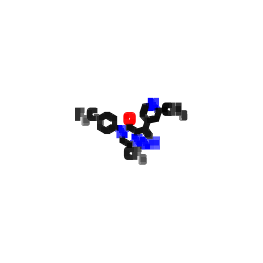 Cc1cc(C2=CNN3C2C(=O)N(c2ccc(C(F)(F)F)cc2)CC3C(F)(F)F)ccn1